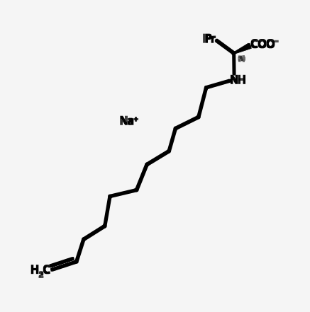 C=CCCCCCCCCCN[C@H](C(=O)[O-])C(C)C.[Na+]